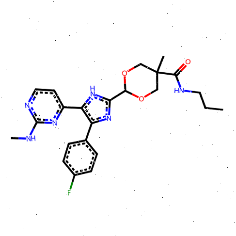 CCCNC(=O)C1(C)COC(c2nc(-c3ccc(F)cc3)c(-c3ccnc(NC)n3)[nH]2)OC1